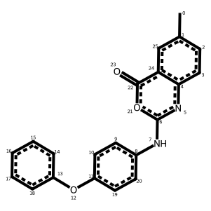 Cc1ccc2nc(Nc3ccc(Oc4ccccc4)cc3)oc(=O)c2c1